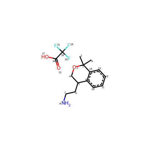 CC1(C)OCC(CCN)c2ccccc21.O=C(O)C(F)(F)F